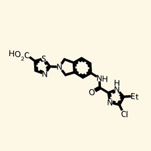 CCc1[nH]c(C(=O)Nc2ccc3c(c2)CN(c2ncc(C(=O)O)s2)C3)nc1Cl